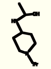 CC(O)NC1CCN(C(C)C)CC1